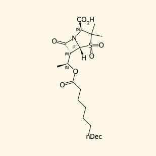 CCCCCCCCCCCCCCCC(=O)O[C@@H](C)[C@@H]1C(=O)N2[C@@H](C(=O)O)C(C)(C)S(=O)(=O)[C@H]12